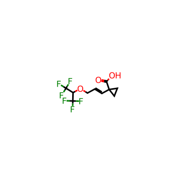 O=C(O)C1(C=CCOC(C(F)(F)F)C(F)(F)F)CC1